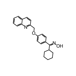 ON=C(c1ccc(OCc2ccc3ccccc3n2)cc1)C1CCCCC1